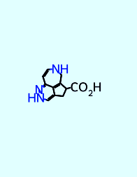 O=C(O)C1CC2=CNN=C3C=CNCC1=C23